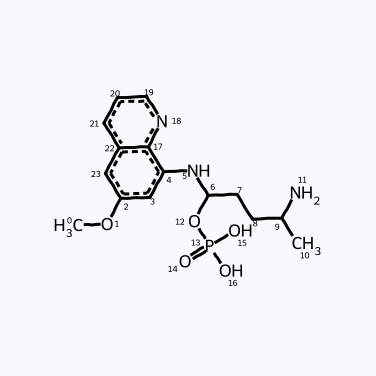 COc1cc(NC(CCC(C)N)OP(=O)(O)O)c2ncccc2c1